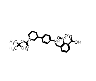 CC(C)(C)OC(=O)N1CCCC(c2ccc(NCc3cccc(C(=O)O)c3[N+](=O)[O-])cc2)C1